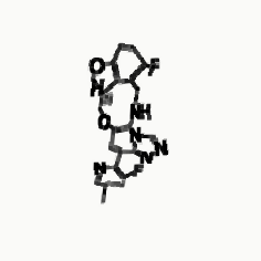 Cc1cnc(-c2cc3c(n4cnnc24)NCc2c(F)ccc4c2[C@@H](CO4)CO3)c(F)c1